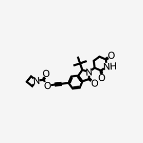 CC(C)(C)C1c2cc(C#COC(=O)N3CCC3)ccc2C(=O)N1C1CCC(=O)NC1=O